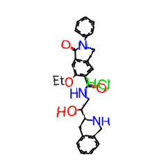 CCOc1cc2c(cc1C(=O)NCC(O)[C@@H]1Cc3ccccc3CN1)CN(c1ccccc1)C2=O.Cl